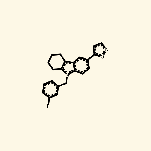 Fc1cccc(Cn2c3c(c4cc(-c5ccno5)ccc42)CCCC3)c1